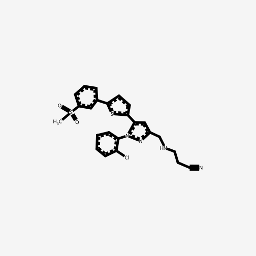 CS(=O)(=O)c1cccc(-c2ccc(-c3cc(CNCCC#N)nn3-c3ccccc3Cl)s2)c1